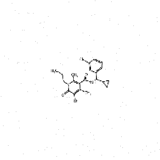 CCCn1c(C)c(C(=O)N[C@H](c2cccc(Cl)c2)C2CC2)c(C)c(Br)c1=O